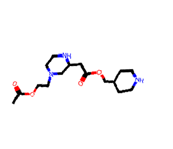 CC(=O)OCCN1CCNC(CC(=O)OCC2CCNCC2)C1